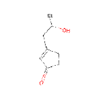 CCC(O)CC1=CC(=O)CC1